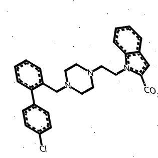 O=C(O)c1cc2ccccc2n1CCN1CCN(Cc2ccccc2-c2ccc(Cl)cc2)CC1